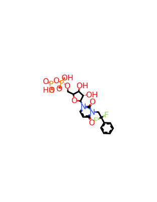 O=c1ccn(C2OC(COP(=O)(O)O[PH](=O)O)C(O)[C@@H]2O)c(=O)n1CC(F)(F)c1ccccc1